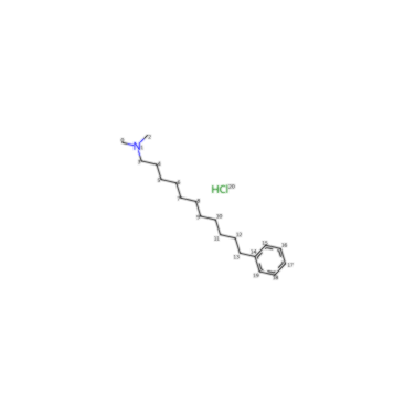 CN(C)CCCCCCCCCCCc1ccccc1.Cl